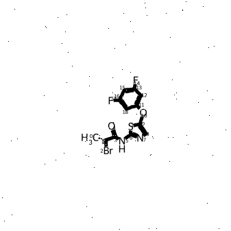 C[C@@H](Br)C(=O)Nc1ncc(Oc2cc(F)cc(F)c2)s1